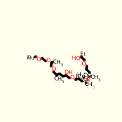 CCC(C)COCCOC(C)COCC(C)CCC(O)COCCC[Si](C)(C)O[Si](C)(C)CCCOCC(O)CC